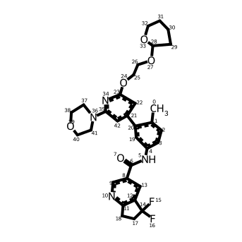 Cc1ccc(NC(=O)c2cnc3c(c2)C(F)(F)CC3)cc1-c1cc(OCCOC2CCCCO2)nc(N2CCOCC2)c1